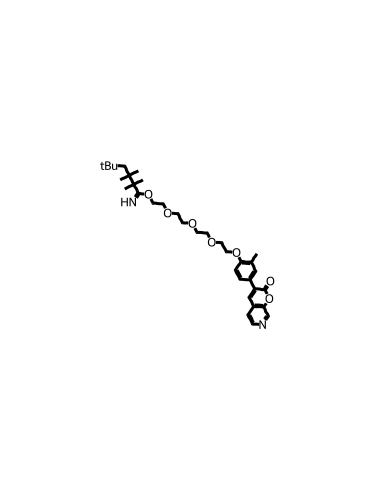 Cc1cc(-c2cc3ccncc3oc2=O)ccc1OCCOCCOCCOCCOC(=N)C(C)(C)C(C)(C)CC(C)(C)C